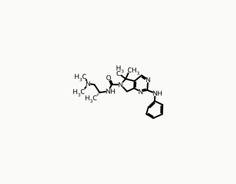 C[C@H](CN(C)C)NC(=O)N1Cc2nc(Nc3ccccc3)ncc2C1(C)C